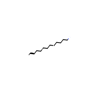 NCCCCCCCCCCC=CC(=O)O